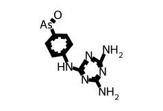 Nc1nc(N)nc(Nc2ccc([As]=O)cc2)n1